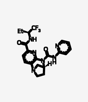 CC[C@H](NC(=O)c1ccc2c(n1)N(C(=O)Nc1ccccn1)[C@H]1CCN2C1)C(F)(F)F